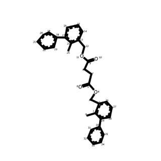 Cc1c(COC(=O)CCC(=O)OCc2cccc(-c3ccccc3)c2C)cccc1-c1ccccc1